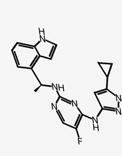 C[C@H](Nc1ncc(F)c(Nc2cc(C3CC3)[nH]n2)n1)c1cccc2[nH]ccc12